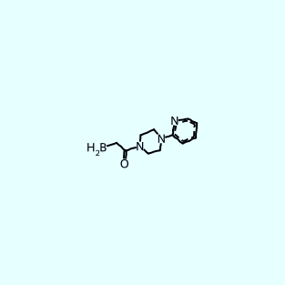 BCC(=O)N1CCN(c2ccccn2)CC1